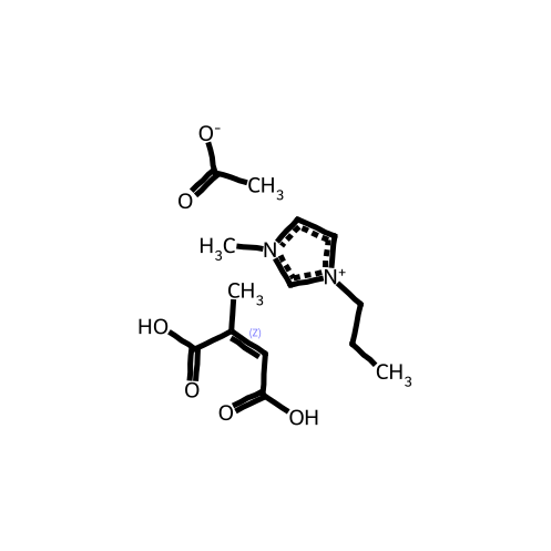 C/C(=C/C(=O)O)C(=O)O.CC(=O)[O-].CCC[n+]1ccn(C)c1